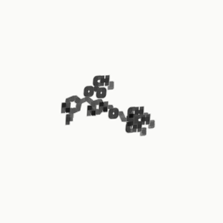 CC(=O)OC(c1ccnc(F)c1)c1cn(COCC[Si](C)(C)C)cn1